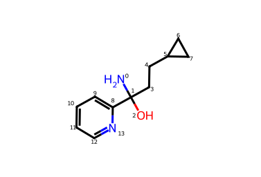 NC(O)(CCC1CC1)c1ccccn1